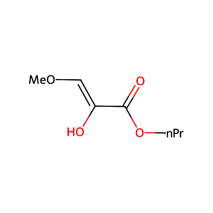 CCCOC(=O)C(O)=COC